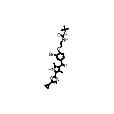 Cc1[nH]c(-c2nnc(C3CC3)o2)c(C)c1C(=O)c1ccc(OCCNC(=O)OC(C)(C)C)c(Br)c1